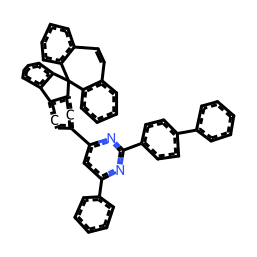 C1=Cc2ccccc2C2(c3ccccc31)c1ccccc1-c1ccc(-c3cc(-c4ccccc4)nc(-c4ccc(-c5ccccc5)cc4)n3)cc12